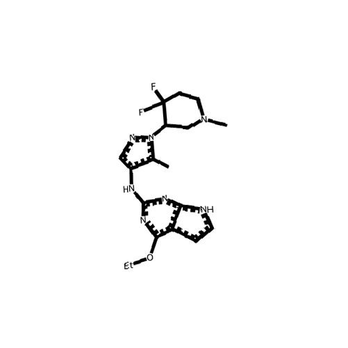 CCOc1nc(Nc2cnn(C3CN(C)CCC3(F)F)c2C)nc2[nH]ccc12